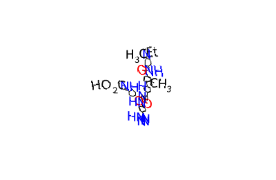 CCN(C)C1CCC(NC(=O)c2ccc(-c3ccc(C[C@H](NC(=O)[C@H]4CC[C@H](CNC(=O)O)CC4)C(=O)Nc4ccc(-c5nnn[nH]5)cc4)cc3)c(C)c2)CC1